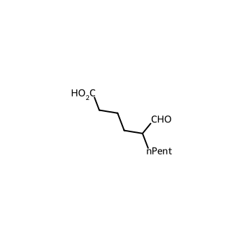 CCCCCC(C=O)CCCC(=O)O